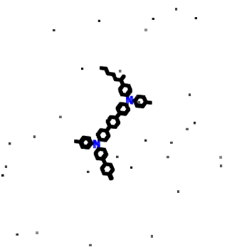 C=C1CCC(C2=CCC(N(c3ccc(C)cc3)C3CCC(C4CCC(C5=CCC(N(C6=CCC(C(C)CCCCC)CC6)C6C=CC(C)CC6)C=C5)CC4)CC3)CC2)CC1